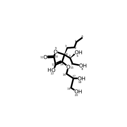 CCCC[C@]1([C@@H](O)CO)OC(=O)C(O)=C1OCC(O)CO